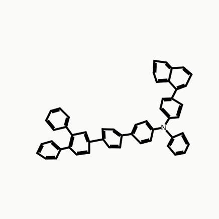 c1ccc(-c2ccc(-c3ccc(-c4ccc(N(c5ccccc5)c5ccc(-c6cccc7ccccc67)cc5)cc4)cc3)cc2-c2ccccc2)cc1